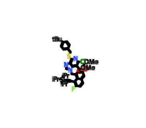 COCOc1cc(Cn2cnc3c(SCc4ccc(C(C)(C)C)cc4)nc(Cl)c(C(=O)OC)c32)c2c(C#C[Si](C(C)C)(C(C)C)C(C)C)c(F)ccc2c1